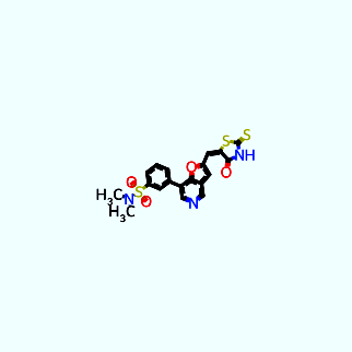 CN(C)S(=O)(=O)c1cccc(-c2cncc3cc(C=C4SC(=S)NC4=O)oc23)c1